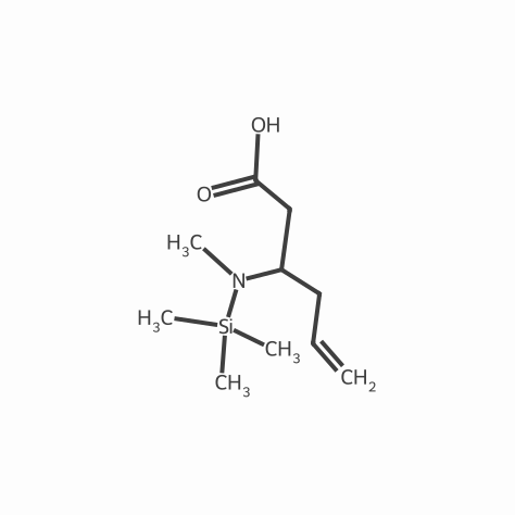 C=CCC(CC(=O)O)N(C)[Si](C)(C)C